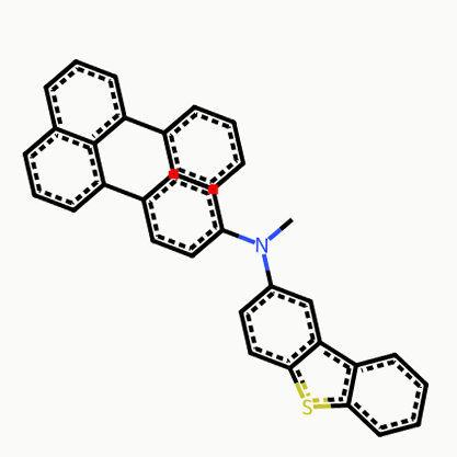 CN(c1ccc(-c2cccc3cccc(-c4ccccc4)c23)cc1)c1ccc2sc3ccccc3c2c1